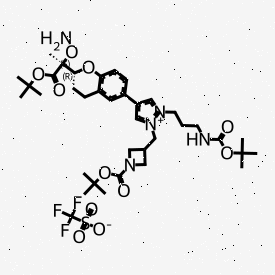 CC(C)(C)OC(=O)NCCCn1cc(-c2ccc3c(c2)CC[C@H]([C@](C)(ON)C(=O)OC(C)(C)C)O3)c[n+]1CC1CN(C(=O)OC(C)(C)C)C1.O=S(=O)([O-])C(F)(F)F